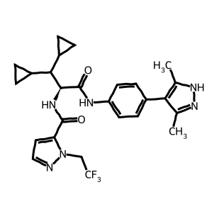 Cc1n[nH]c(C)c1-c1ccc(NC(=O)[C@@H](NC(=O)c2ccnn2CC(F)(F)F)C(C2CC2)C2CC2)cc1